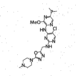 COc1nc(P(C)C)cnc1Nc1nc(NCc2nnc(N3CCN(C)CC3)o2)ncc1Cl